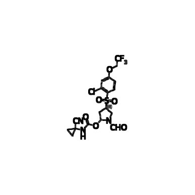 N#CC1(NC(=O)OC2C[C@@H](S(=O)(=O)c3ccc(OCC(F)(F)F)cc3Cl)CN2C=O)CC1